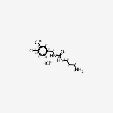 Cl.NCCCNC(=O)NCc1ccc(Cl)c(Cl)c1